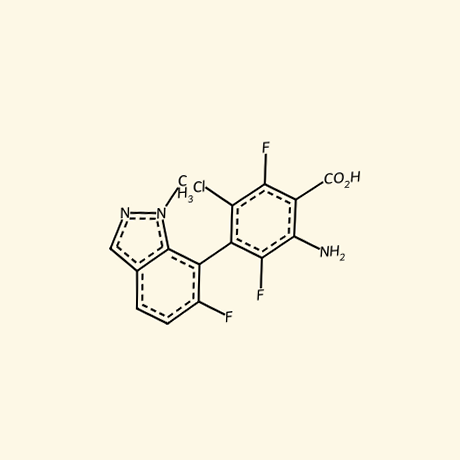 Cn1ncc2ccc(F)c(-c3c(F)c(N)c(C(=O)O)c(F)c3Cl)c21